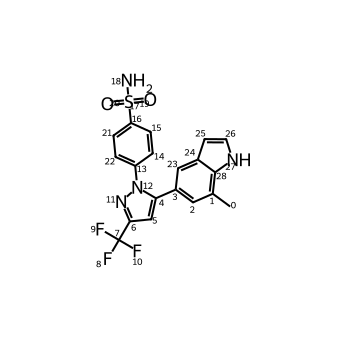 Cc1cc(-c2cc(C(F)(F)F)nn2-c2ccc(S(N)(=O)=O)cc2)cc2cc[nH]c12